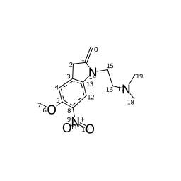 C=C1Cc2cc(OC)c([N+](=O)[O-])cc2N1CCN(C)C